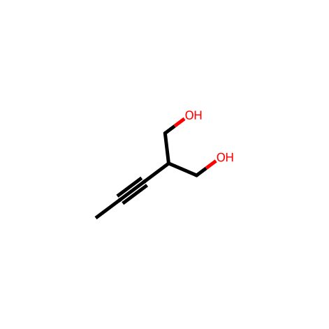 CC#CC(CO)CO